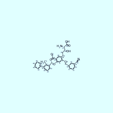 Cc1c(COc2cc(OCc3cccc(C#N)c3)c(CC[C@@H](O)[C@H](N)C(=O)O)cc2[N+](=O)[O-])cccc1-c1ccccc1